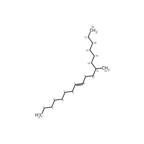 [CH2]CCCCCC/C=C/CCC(C)CCCCC[CH2]